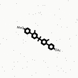 COc1ccc(-c2ccc(C(C)(C)c3ccc(-c4ccc(OC(C)=O)cc4)c(C)c3)cc2C)cc1